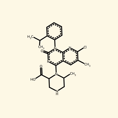 Cc1cc2c(N3C(C)CNCC3C(=O)O)nc(=O)n(-c3ccccc3C(C)C)c2nc1Cl